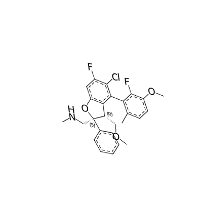 CNC[C@]1(c2ccccc2)Oc2cc(F)c(Cl)c(-c3c(C)ccc(OC)c3F)c2[C@@H]1COC